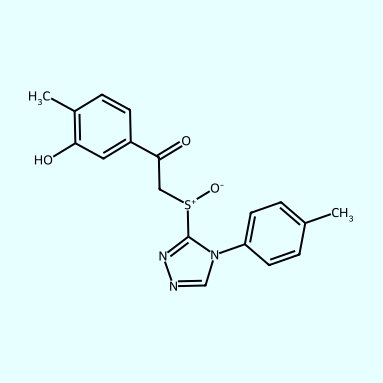 Cc1ccc(-n2cnnc2[S+]([O-])CC(=O)c2ccc(C)c(O)c2)cc1